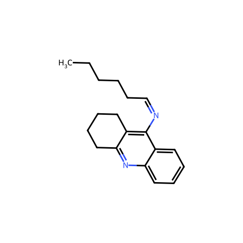 CCCCC/C=N\c1c2c(nc3ccccc13)CCCC2